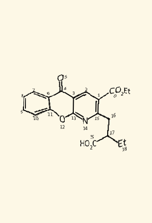 CCOC(=O)c1cc2c(=O)c3ccccc3oc2nc1CC(CC)C(=O)O